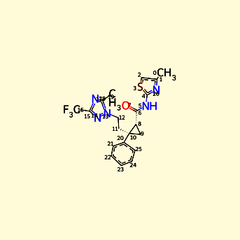 Cc1csc(NC(=O)[C@@H]2C[C@@]2(CCn2nc(C(F)(F)F)nc2C)c2ccccc2)n1